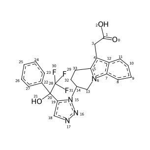 O=C(O)Cc1c2n(c3ccccc13)CC(n1nncc1C(O)(c1ccccc1)C(F)(F)F)CC2